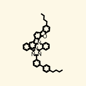 CCCCc1ccc(-c2cccc(-c3nc(-c4ccccc4)nc(-c4ccccc4-n4c5ccccc5c5ccc6c7cc(CCCC)ccc7oc6c54)n3)c2)cc1